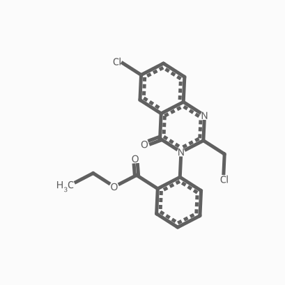 CCOC(=O)c1ccccc1-n1c(CCl)nc2ccc(Cl)cc2c1=O